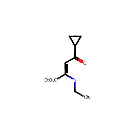 CCOC(=O)/C(=C/C(=O)C1CC1)NCC(C)(C)C